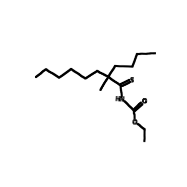 CCCCCCC(C)(CCCC)C(=S)NC(=O)OCC